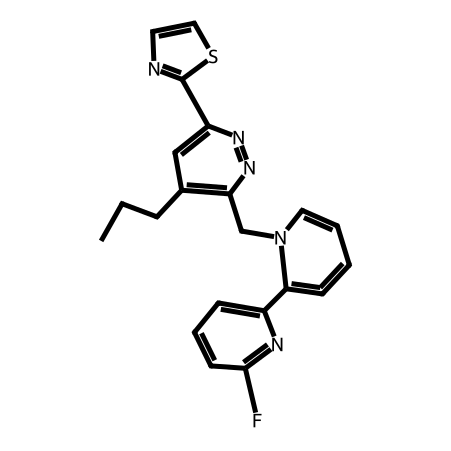 CCCc1cc(-c2nccs2)nnc1CN1C=CC=C=C1c1cccc(F)n1